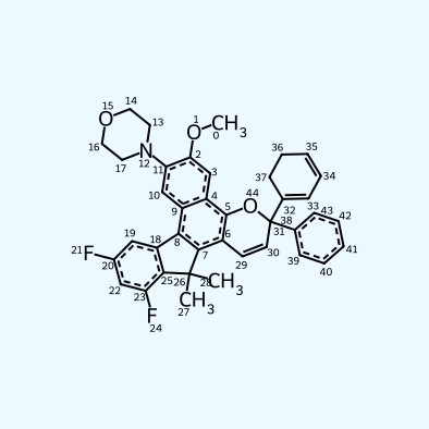 COc1cc2c3c(c4c(c2cc1N1CCOCC1)-c1cc(F)cc(F)c1C4(C)C)C=CC(C1=CC=CCC1)(c1ccccc1)O3